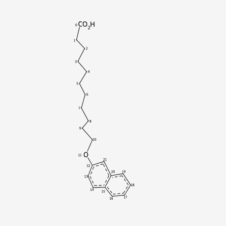 O=C(O)CCCCCCCCCCOc1ccc2ccccc2c1